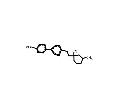 CCCc1ccc(-c2ccc(CCC3(C#N)CCCC(C)C3)cc2)cc1